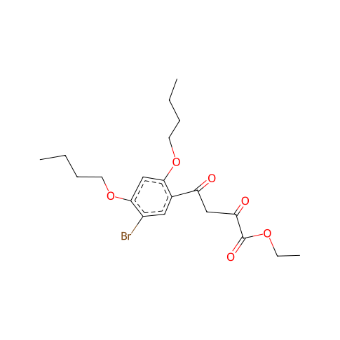 CCCCOc1cc(OCCCC)c(C(=O)CC(=O)C(=O)OCC)cc1Br